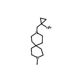 CCCC1(CN2CCC3(CCN(C)CC3)CC2)CC1